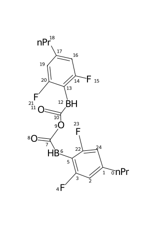 CCCc1cc(F)c(BC(=O)OC(=O)Bc2c(F)cc(CCC)cc2F)c(F)c1